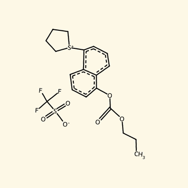 CCCOC(=O)Oc1cccc2c([S+]3CCCC3)cccc12.O=S(=O)([O-])C(F)(F)F